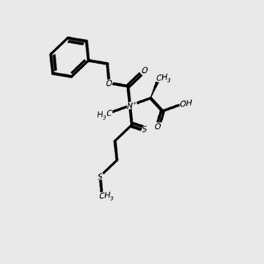 CSCCC(=S)[N+](C)(C(=O)OCc1ccccc1)[C@@H](C)C(=O)O